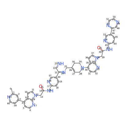 Cc1cc(-c2ccnc3c2ccn3CC(=O)Nc2ccc(/C(C=N)=N/CC3=CCN(c4ccnc5c4ccn5CC(=O)Nc4ccc(-c5cnccn5)cn4)CC3)cn2)ccn1